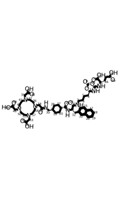 O=CO[C@H](CCCCNC(=O)[C@H](Cc1ccc2ccccc2c1)NC(=O)[C@H]1CC[C@H](CNC(=O)CN2CCN(CC(=O)O)CCN(CC(=O)O)CCN(CC(=O)O)CC2)CC1)NC(=O)N[C@@H](CCC(=O)O)C(=O)O